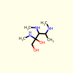 CNC(C)C(NC)C(O)(CO)NC